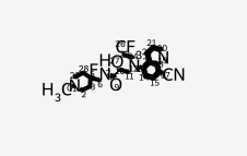 CN1CCC(F)(CNC(=O)[C@@H]2CN(c3ccc(C#N)c4ncccc34)C[C@H](C(F)(F)F)O2)CC1